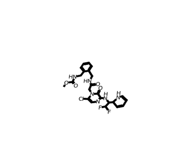 COC(=O)NCc1ccccc1CNC(=O)Cn1c(Cl)cnc(NC(C(F)F)C2C=CC=CN2)c1=O